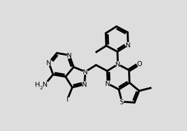 Cc1cccnc1-n1c(Cn2nc(I)c3c(N)ncnc32)nc2scc(C)c2c1=O